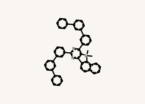 C[Si]1(C)c2c(-c3cccc(-c4cccc(-c5ccccc5)c4)c3)nc(-c3cccc(-c4cccc(-c5ccccc5)c4)c3)nc2-c2ccc3ccccc3c21